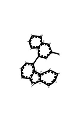 Cc1cc(-c2cccc3oc4ccccc4c23)c2ccccc2c1